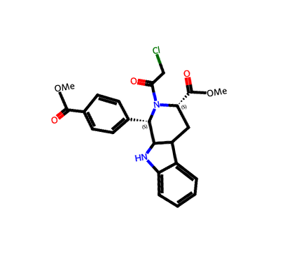 COC(=O)c1ccc([C@H]2C3Nc4ccccc4C3C[C@@H](C(=O)OC)N2C(=O)CCl)cc1